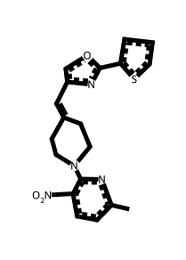 Cc1ccc([N+](=O)[O-])c(N2CCC(=Cc3coc(-c4cccs4)n3)CC2)n1